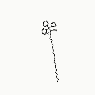 CCCCCCCCCCCCCCCCCCOCC(O)C(O)C(c1ccccc1)(c1ccccc1)c1ccccc1